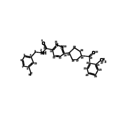 O=C(NCc1cccc(F)c1)c1ccc(C2CCC(C(=O)c3ccccc3C(F)(F)F)CC2)nn1